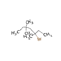 CCC(C)(C)CC(C)(Br)CC